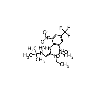 CCN(CC)C1=CN(C(C)(C)C)NN1c1c([N+](=O)[O-])cc(C(F)(F)F)cc1[N+](=O)[O-]